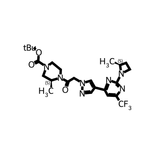 C[C@H]1CN(C(=O)OC(C)(C)C)CCN1C(=O)Cn1cc(-c2cc(C(F)(F)F)nc(N3CC[C@@H]3C)n2)cn1